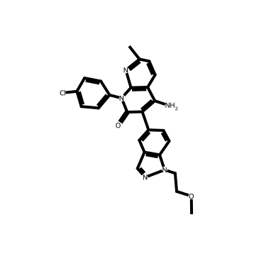 COCCn1ncc2cc(-c3c(N)c4ccc(C)nc4n(-c4ccc(Cl)cc4)c3=O)ccc21